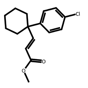 COC(=O)/C=C/C1(c2ccc(Cl)cc2)CCCCC1